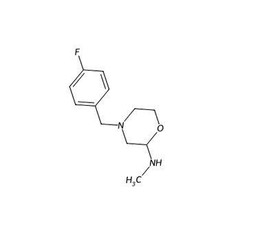 CNC1CN(Cc2ccc(F)cc2)CCO1